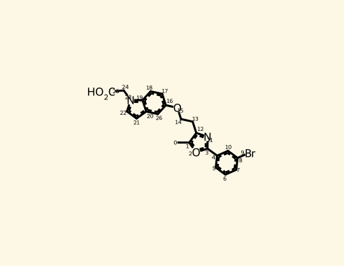 Cc1oc(-c2cccc(Br)c2)nc1CCOc1ccc2c(ccn2CC(=O)O)c1